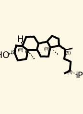 CC(C)[C@H](C)CC[C@H](C)C1CCC2C3CC[C@@H]4C[C@@H](O)CC[C@]4(C)C3CC[C@@]21C